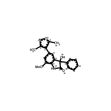 COc1cc(-c2c(C)noc2C)cc2c1NC(=O)C2(O)c1ccccc1